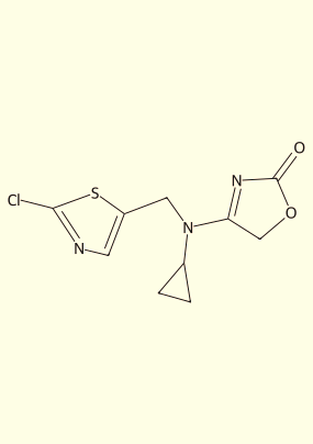 O=C1N=C(N(Cc2cnc(Cl)s2)C2CC2)CO1